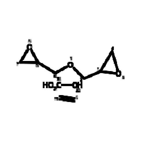 C(OCC1CO1)C1CO1.C=C.O=C(O)O